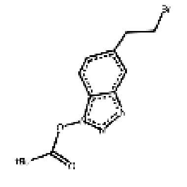 CC(C)(C)C(=O)On1nnc2cc(CCBr)ccc21